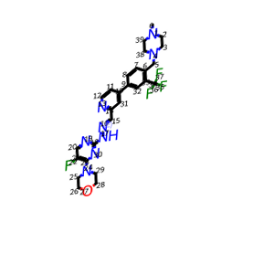 CN1CCN(Cc2ccc(-c3ccnc(/C=N/Nc4ncc(F)c(N5CCOCC5)n4)c3)cc2C(F)(F)F)CC1